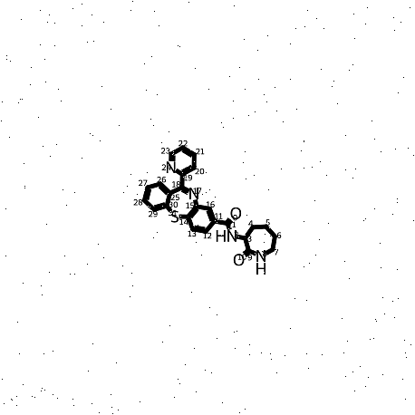 O=C(NC1CCCCNC1=O)c1ccc2c(c1)N=C(c1ccccn1)c1ccccc1S2